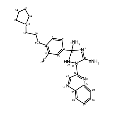 NC1=NC(N)(c2ccc(OCCN3CCCC3)c(F)c2)NN1c1cnc2ccccc2n1